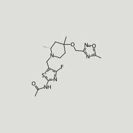 CC(=O)Nc1nc(F)c(CN2CCC(C)(OCc3noc(C)n3)C[C@H]2C)s1